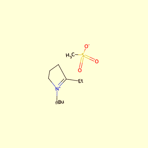 CCCC[N+]1=C(CC)CCC1.CS(=O)(=O)[O-]